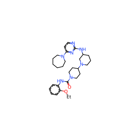 CCOc1ccccc1NC(=O)N1CCC(N2CCCC(Nc3nccc(N4CCCCCC4)n3)C2)CC1